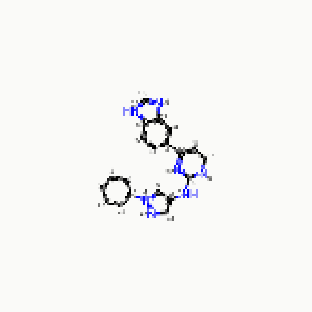 c1ccc(-n2cc(Nc3nccc(-c4ccc5[nH]cnc5c4)n3)cn2)cc1